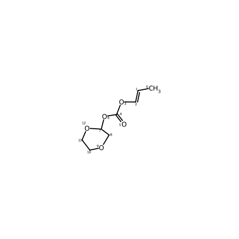 CC=COC(=O)OC1COCCO1